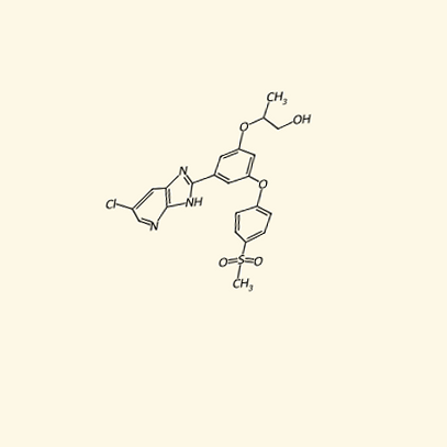 CC(CO)Oc1cc(Oc2ccc(S(C)(=O)=O)cc2)cc(-c2nc3cc(Cl)cnc3[nH]2)c1